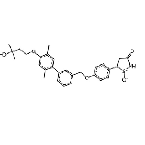 Cc1cc(-c2cccc(COc3ccc(C4CC(=O)N[S+]4[O-])cc3)c2)c(C)cc1OCCC(C)(C)O